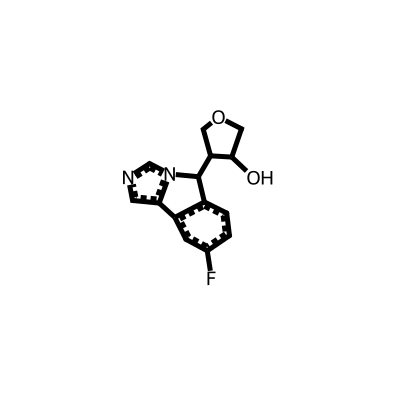 OC1COCC1C1c2ccc(F)cc2-c2cncn21